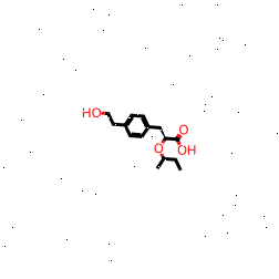 CCC(C)O[C@@H](Cc1ccc(CCO)cc1)C(=O)O